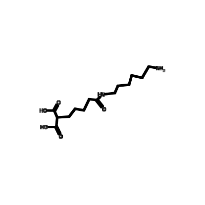 NCCCCCCNC(=O)CCCCC(C(=O)O)C(=O)O